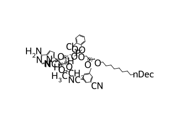 CCCCCCCCCCCCCCCCCCOC[C@H](COP(=O)(OC[C@H]1O[C@@](C#N)(c2ccc3c(N)ncnn23)[C@@H]2OC(C)(C)O[C@@H]21)Oc1ccccc1Cl)OCc1cc(C#N)cc(C#N)c1